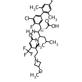 COC1CN(CCc2cn(C(CC(C)C)C(N)[C@@H](CC(=O)O)c3cc(-c4c(C)cc(F)cc4C)cc(Cl)c3F)c(=O)cc2C(F)(F)F)C1